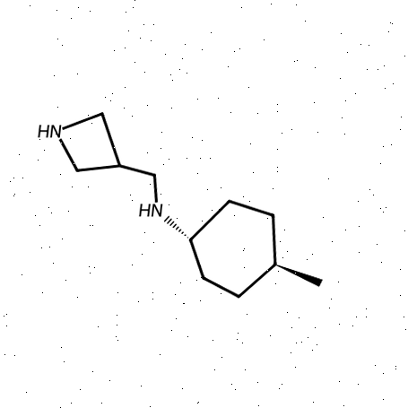 C[C@H]1CC[C@H](NCC2CNC2)CC1